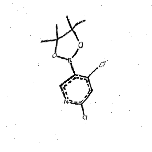 CC1(C)OB(c2cnc(Cl)cc2Cl)OC1(C)C